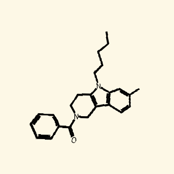 CCCCCn1c2c(c3ccc(C)cc31)CN(C(=O)c1ccccc1)CC2